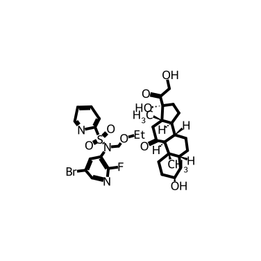 CCOCN(c1cc(Br)cnc1F)S(=O)(=O)c1ccccn1.C[C@]12CC[C@@H](O)C[C@H]1CC[C@@H]1[C@@H]2C(=O)C[C@@]2(C)[C@H]1CC[C@]2(O)C(=O)CO